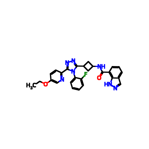 CCOc1ccc(-c2nnc(C3CC(NC(=O)c4cccc5cn[nH]c45)C3)n2-c2ccccc2F)nc1